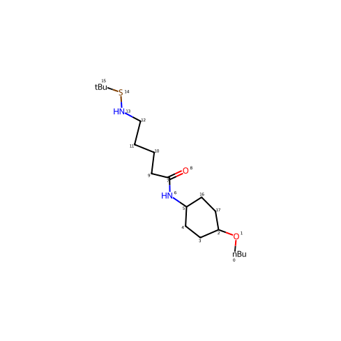 CCCCOC1CCC(NC(=O)CCCCNSC(C)(C)C)CC1